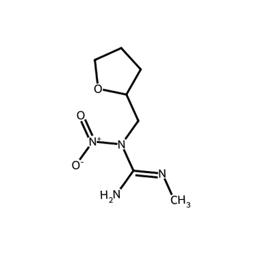 CN=C(N)N(CC1CCCO1)[N+](=O)[O-]